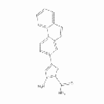 NC(=O)c1sc(-c2ccc3c(ccc4ccccc43)c2)cc1N